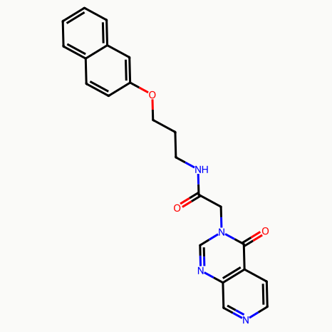 O=C(Cn1cnc2cnccc2c1=O)NCCCOc1ccc2ccccc2c1